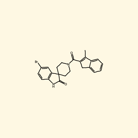 CC1=C(C(=O)N2CCC3(CC2)C(=O)Nc2ccc(Br)cc23)Cc2ccccc21